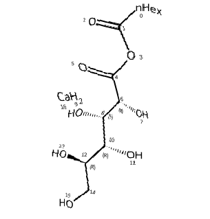 CCCCCCC(=O)OC(=O)[C@H](O)[C@@H](O)[C@H](O)[C@H](O)CO.[CaH2]